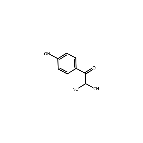 N#CC(C#N)C(=O)c1ccc(N=O)cc1